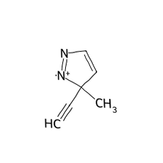 C#CC1(C)C=CN=[N+]1